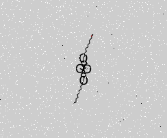 C=CCCCCCCCCCOc1ccc(C(=O)C(=O)c2ccc(OCCCCCCCCCC=C)cc2)cc1